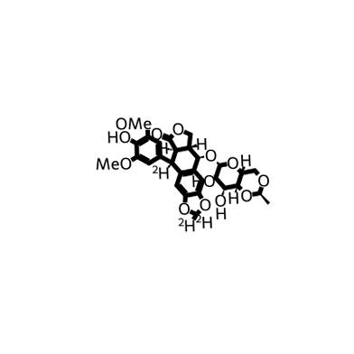 [2H]C1([2H])Oc2cc3c(cc2O1)[C@@]([2H])(c1cc(OC)c(O)c(OC)c1)[C@H]1C(=O)OC[C@@H]1[C@@H]3O[C@@H]1O[C@@H]2CO[C@@H](C)O[C@H]2[C@H](O)[C@H]1O